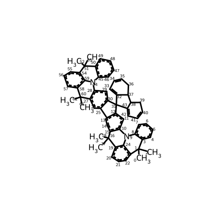 CC1(C)c2ccccc2N2c3cc4c(cc3C(C)(C)c3cccc1c32)-c1cc2c(cc1C41C3=CC=CCC3C3CC=CC=C31)N1c3ccccc3C(C)(C)c3cccc(c31)C2(C)C